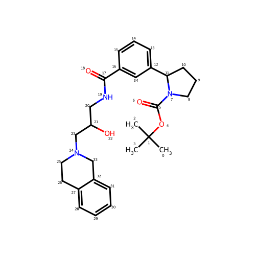 CC(C)(C)OC(=O)N1CCCC1c1cccc(C(=O)NCC(O)CN2CCc3ccccc3C2)c1